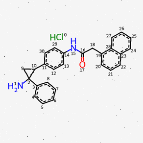 Cl.NC1(c2ccccc2)CC1c1ccc(NC(=O)Cc2cccc3ccccc23)cc1